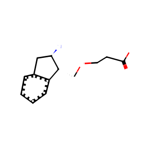 N[C@@H]1Cc2ccccc2[C@H]1COCCC(=O)O